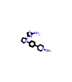 CC(C)(C)N1CCC(c2ccc(N3CCC[C@@H]3c3csc(N)n3)cc2)CC1